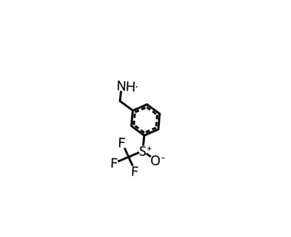 [NH]Cc1cccc([S+]([O-])C(F)(F)F)c1